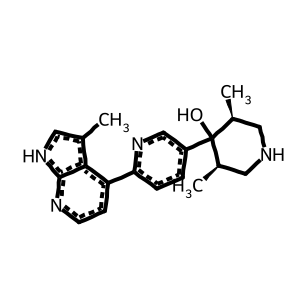 Cc1c[nH]c2nccc(-c3ccc(C4(O)[C@H](C)CNC[C@@H]4C)cn3)c12